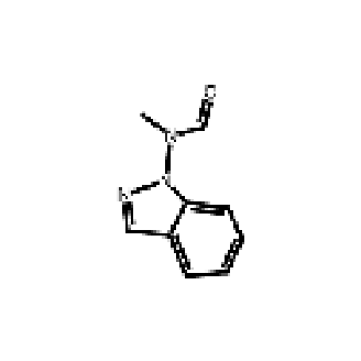 CN([C]=O)n1ncc2ccccc21